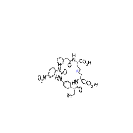 CC(C)CC(C(=O)NC(C/C=C/CC(NC(=O)Cc1ccccc1)C(=O)O)C(=O)O)c1ccc(NC(=O)Nc2ccc([N+](=O)[O-])cc2)cc1